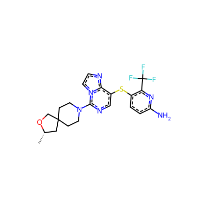 C[C@H]1CC2(CCN(c3ncc(Sc4ccc(N)nc4C(F)(F)F)c4nccn34)CC2)CO1